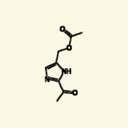 CC(=O)OCc1cnc(C(C)=O)[nH]1